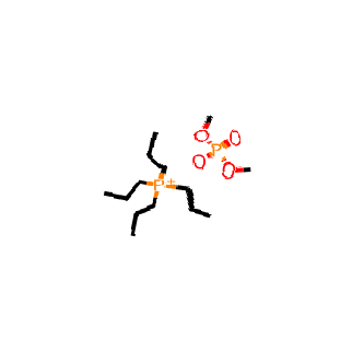 CCC[P+](CCC)(CCC)CCC.COP(=O)([O-])OC